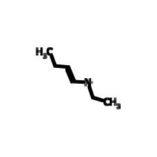 CC/C=C/[N]CC